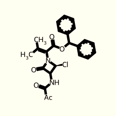 CC(=O)C(=O)NC1C(=O)N(C(C(=O)OC(c2ccccc2)c2ccccc2)=C(C)C)[C@H]1Cl